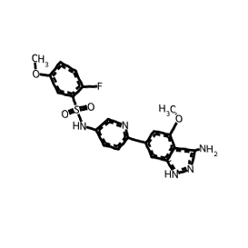 COc1ccc(F)c(S(=O)(=O)Nc2ccc(-c3cc(OC)c4c(N)n[nH]c4c3)nc2)c1